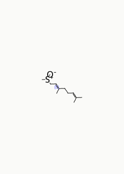 CC(C)=CCC/C(C)=C/C[S+](C)[O-]